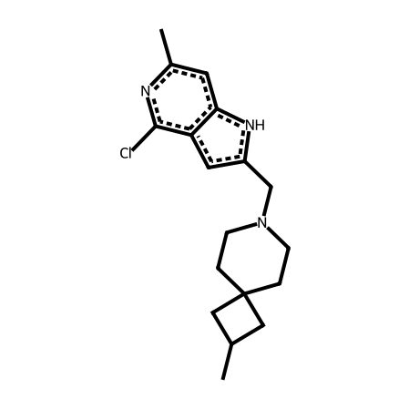 Cc1cc2[nH]c(CN3CCC4(CC3)CC(C)C4)cc2c(Cl)n1